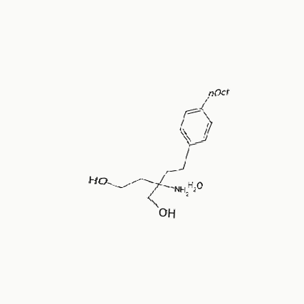 CCCCCCCCc1ccc(CCC(N)(CO)CCO)cc1.O